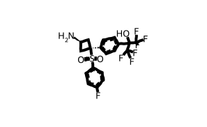 N[C@H]1C[C@@](c2ccc(C(O)(C(F)(F)F)C(F)(F)F)cc2)(S(=O)(=O)c2ccc(F)cc2)C1